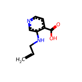 C=CCNc1cnccc1C(=O)O